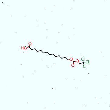 O=C(O)CCCCCCCCCCCCCOC(=O)OCC(Cl)(Cl)Cl